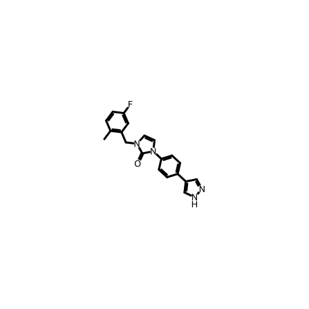 Cc1ccc(F)cc1Cn1ccn(-c2ccc(-c3cn[nH]c3)cc2)c1=O